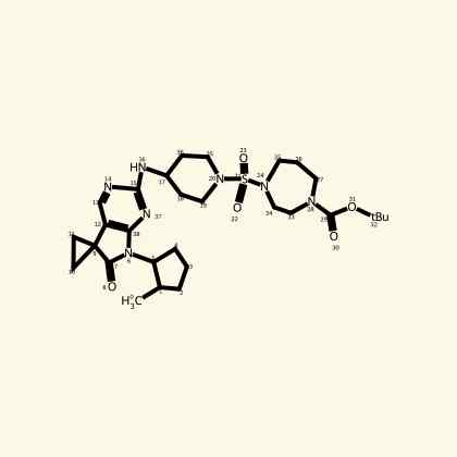 CC1CCCC1N1C(=O)C2(CC2)c2cnc(NC3CCN(S(=O)(=O)N4CCCN(C(=O)OC(C)(C)C)CC4)CC3)nc21